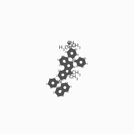 CC1(C)c2cc(N(c3ccccc3)c3cccc4ccccc34)ccc2-c2c1cc(N(c1ccccc1)c1ccc([Si](C)(C)C)cc1)c1ccccc21